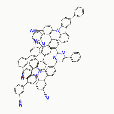 N#Cc1cccc(-c2ccc3c(c2)c2ccccc2n3-c2ccc(C#N)cc2-c2ccc(-c3cc(-c4ccccc4)nc(-c4ccc(-c5cc(C#N)ccc5-n5c6ccccc6c6cc(-c7ccccc7)ccc65)c(-n5c6ccccc6c6cc(-c7cccc(C#N)c7)ccc65)c4)n3)cc2-n2c3ccccc3c3cc(-c4cccc(C#N)c4)ccc32)c1